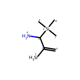 C=C([SiH3])C(N)[Si](C)(C)C